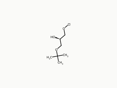 CC(C)(C)OC[C@@H](O)COCl